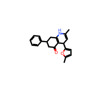 CC1=CC(c2ccc(C)o2)C2=C(CC(c3ccccc3)CC2=O)N1